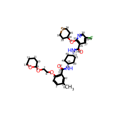 Cc1ccc(OCCOC2CCCCO2)c(C(=O)N[C@H]2CC[C@@H](NC(=O)c3cc(F)cnc3OC3CCSCC3)CC2)c1